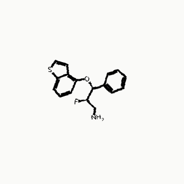 NC[C@@H](F)[C@@H](Oc1cccc2sccc12)c1ccccc1